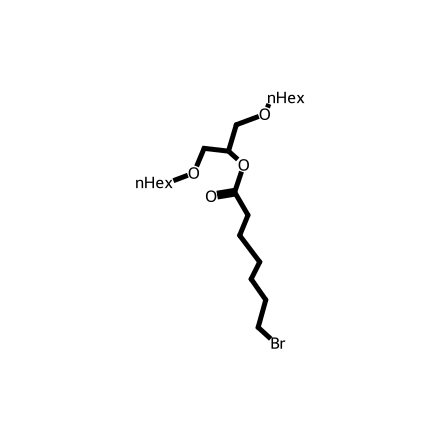 CCCCCCOCC(COCCCCCC)OC(=O)CCCCCCBr